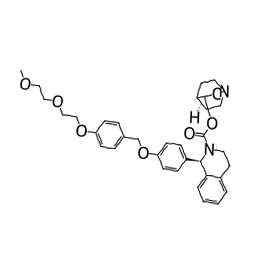 COCCOCCOc1ccc(COc2ccc([C@@H]3c4ccccc4CCN3C(=O)O[C@@H]3CN4CCC3CC4)cc2)cc1